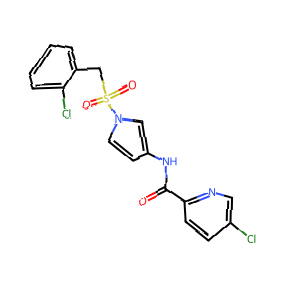 O=C(Nc1ccn(S(=O)(=O)Cc2ccccc2Cl)c1)c1ccc(Cl)cn1